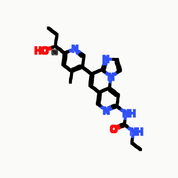 CCNC(=O)Nc1cc2c(cn1)cc(-c1cnc([C@@H](O)CC)cc1C)c1nccn12